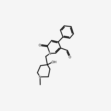 CN1CCC(O)(Cn2cc(C=O)c(-c3ccccc3)cc2=O)CC1